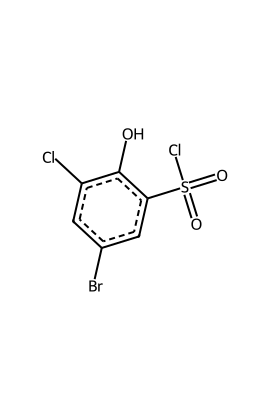 O=S(=O)(Cl)c1cc(Br)cc(Cl)c1O